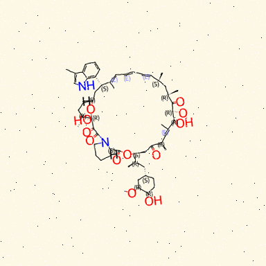 CO[C@@H]1C[C@H](C[C@@H](C)[C@@H]2CC(=O)[C@H](C)/C=C(\C)[C@@H](O)[C@@H](OC)C(=O)[C@H](C)C[C@H](C)/C=C/C=C/C=C(\C)[C@@H](c3cccc4c(C)c[nH]c34)C[C@@H]3CC[C@@H](C)[C@@](O)(O3)C(=O)C(=O)N3CCCC[C@H]3C(=O)O2)CC[C@H]1O